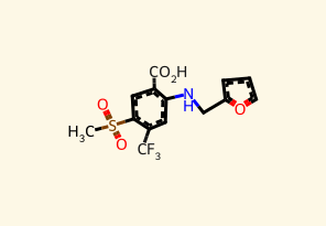 CS(=O)(=O)c1cc(C(=O)O)c(NCc2ccco2)cc1C(F)(F)F